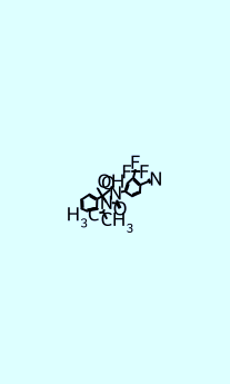 CC(C)N1C(=O)N(c2ccc(C#N)c(C(F)(F)F)c2)C(=O)C1(CO)c1ccccc1